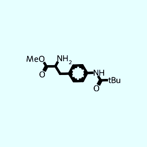 COC(=O)C(N)Cc1ccc(NC(=O)C(C)(C)C)cc1